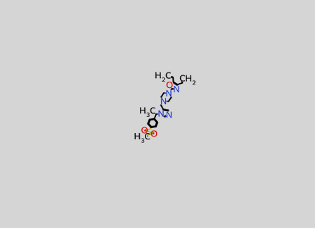 C=Cc1nc(N2CCN(Cc3cncn3C(C)c3ccc(S(C)(=O)=O)cc3)CC2)oc1C=C